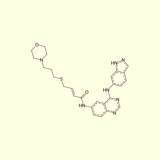 O=C(C=CCSCCCN1CCOCC1)Nc1ccc2ncnc(Nc3ccc4cn[nH]c4c3)c2c1